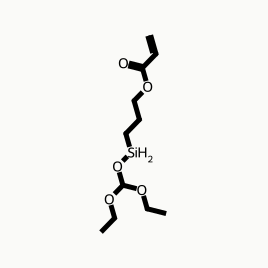 C=CC(=O)OCCC[SiH2]OC(OCC)OCC